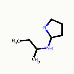 CCC(C)NC1CCC[N]1